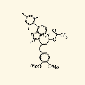 COc1ccc(CC(CC(N)OC(=O)C(F)(F)F)c2c3cccc(-c4c(C)cc(C)cc4C)c3nn2C)cc1OC